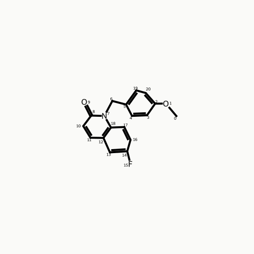 COc1ccc(Cn2c(=O)ccc3cc(F)ccc32)cc1